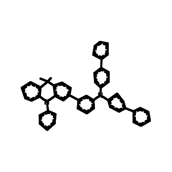 CC1(C)c2ccccc2N(c2ccccc2)c2cc(-c3cccc(N(c4ccc(-c5ccccc5)cc4)c4ccc(-c5ccccc5)cc4)c3)ccc21